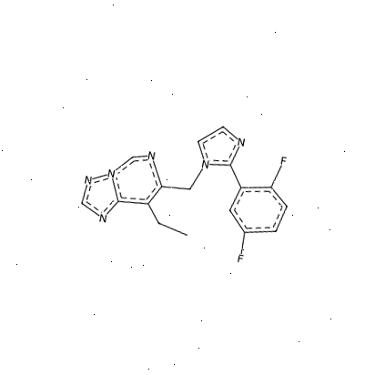 CCc1c(Cn2ccnc2-c2cc(F)ccc2F)ncn2ncnc12